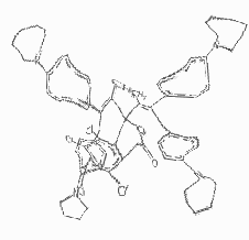 CC(=C(c1ccc(N2CCCC2)cc1)c1ccc(N2CCCC2)cc1)C1(C(C)=C(c2ccc(N3CCCC3)cc2)c2ccc(N3CCCC3)cc2)OC(=O)c2c(Cl)c(Cl)c(Cl)c(Cl)c21